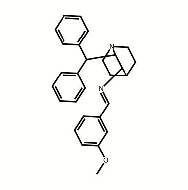 COc1cccc(C=NC2C3CCN(CC3)C2C(c2ccccc2)c2ccccc2)c1